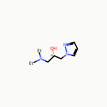 CCN(CC)C[C@H](O)Cn1cc[c]n1